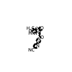 Cc1c(O[C@H]2COC[C@H]2OCCC(=O)N2CCN(c3ccc(C#N)cn3)CC2)cn[nH]c1=O